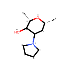 C[C@@H]1CC(N2CCCC2)C(O)[C@H](C)O1